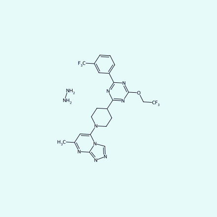 Cc1cc(N2CCC(c3nc(OCC(F)(F)F)nc(-c4cccc(C(F)(F)F)c4)n3)CC2)n2cnnc2n1.NN